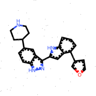 c1cc(-c2ccoc2)c2cc(-c3n[nH]c4ccc(C5CCNCC5)cc34)[nH]c2c1